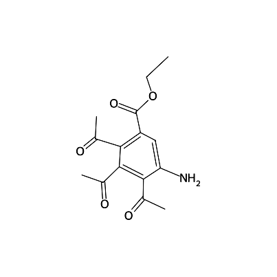 CCOC(=O)c1cc(N)c(C(C)=O)c(C(C)=O)c1C(C)=O